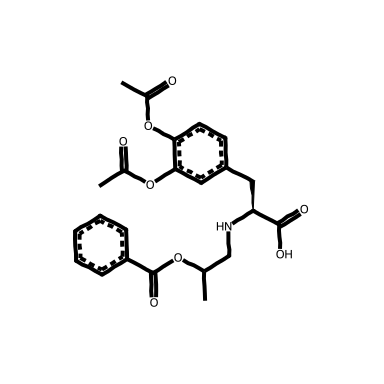 CC(=O)Oc1ccc(C[C@H](NCC(C)OC(=O)c2ccccc2)C(=O)O)cc1OC(C)=O